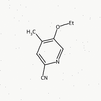 CCOc1cnc(C#N)cc1C